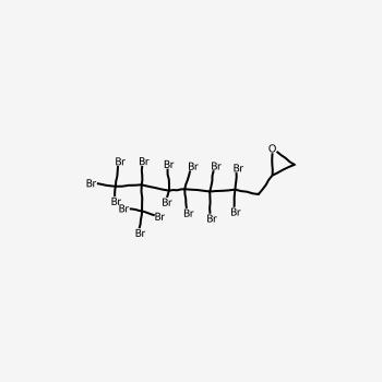 BrC(Br)(Br)C(Br)(C(Br)(Br)Br)C(Br)(Br)C(Br)(Br)C(Br)(Br)C(Br)(Br)CC1CO1